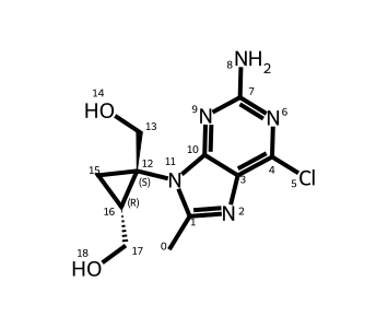 Cc1nc2c(Cl)nc(N)nc2n1[C@@]1(CO)C[C@H]1CO